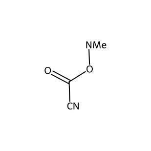 CNOC(=O)C#N